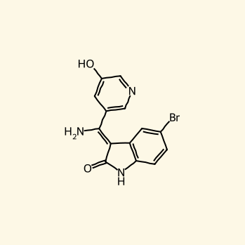 N/C(=C1\C(=O)Nc2ccc(Br)cc21)c1cncc(O)c1